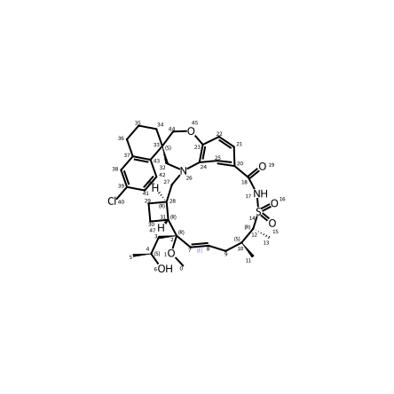 CO[C@@]1(C[C@H](C)O)/C=C/C[C@H](C)[C@@H](C)S(=O)(=O)NC(=O)c2ccc3c(c2)N(C[C@@H]2CC[C@H]21)C[C@@]1(CCCc2cc(Cl)ccc21)CO3